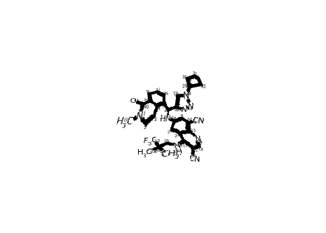 Cn1ccc2c([C@H](Nc3cc(C#N)c4ncc(C#N)c(NCC(C)(C)C(F)(F)F)c4c3)c3cn(C45CC(C4)C5)nn3)cccc2c1=O